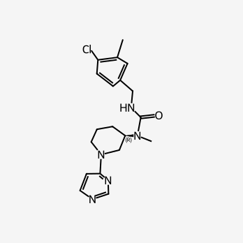 Cc1cc(CNC(=O)N(C)[C@@H]2CCCN(c3ccncn3)C2)ccc1Cl